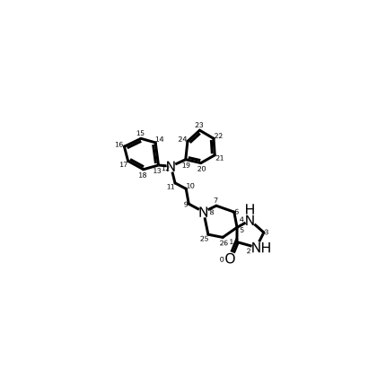 O=C1NCNC12CCN(CCCN(c1ccccc1)c1ccccc1)CC2